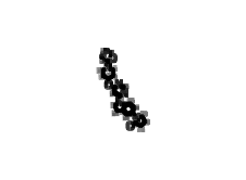 CC(C)SC(=O)N1CCC(Oc2cc(N3CCc4cc(N5CCCC5=O)ccc43)ncn2)CC1